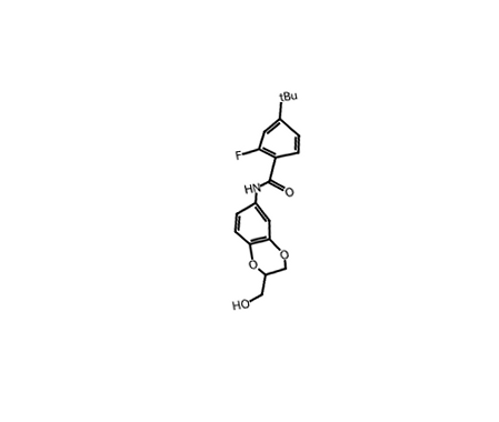 CC(C)(C)c1ccc(C(=O)Nc2ccc3c(c2)OCC(CO)O3)c(F)c1